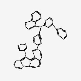 c1ccc(-c2cccc(N(c3ccc(-c4ccc5ccc6c(c(-c7ccccc7)c7ccccn76)c5c4)cc3)c3cccc4ccccc34)c2)cc1